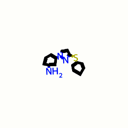 Nc1cccc(-n2ccc(Sc3ccccc3)n2)c1